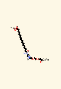 COC(=O)CCOCCOCC[N+](C)(C)CCNC(=O)CCCCCCCCCCCCCCCCC(=O)OC(C)(C)C